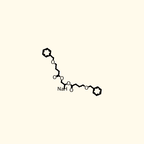 [CH2]C(COC(=O)CCCOCc1ccccc1)OC(=O)CCCOCc1ccccc1.[NaH]